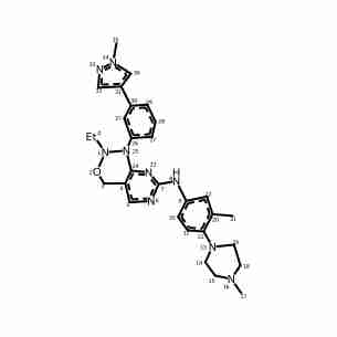 CCN1OCc2cnc(Nc3ccc(N4CCN(C)CC4)c(C)c3)nc2N1c1cccc(-c2cnn(C)c2)c1